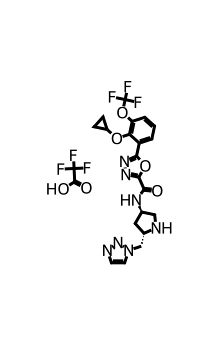 O=C(N[C@H]1CN[C@H](Cn2ccnn2)C1)c1nnc(-c2cccc(OC(F)(F)F)c2OC2CC2)o1.O=C(O)C(F)(F)F